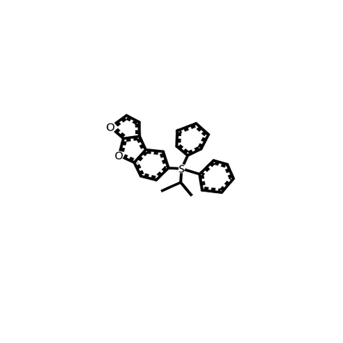 CC(C)S(c1ccccc1)(c1ccccc1)c1ccc2oc3occc3c2c1